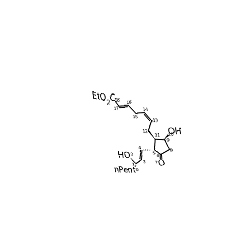 CCCCC[C@H](O)/C=C/[C@H]1C(=O)C[C@H](O)[C@@H]1C/C=C\C/C=C/C(=O)OCC